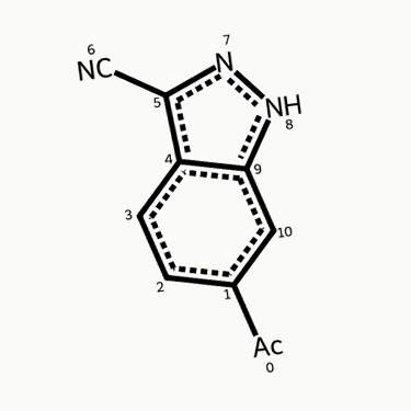 CC(=O)c1ccc2c(C#N)n[nH]c2c1